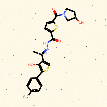 C/C(=N\NC(=O)c1ccc(C(=O)N2CCC(O)C2)s1)c1csc(-c2ccc(C(F)(F)F)cc2)c1O